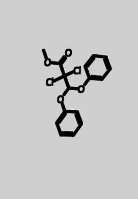 COC(=O)C(Cl)(Cl)C(Oc1ccccc1)Oc1ccccc1